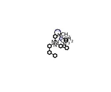 C=C/C=C(\C=C/C)N1C(=C)/C=C\C=C/Cc2ccc(-c3nc(-c4cccc(-c5cccc(-c6ccccc6)c5)c4)nc(-c4ccc5c6ccccc6n(-c6ccccc6)c5c4)n3)cc21